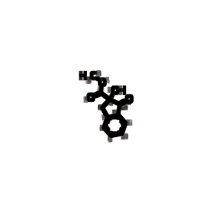 COC(=O)C1(O)Cc2ccccc2C1=O